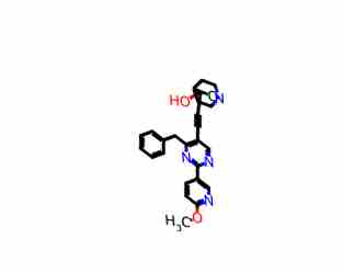 COc1ccc(-c2ncc(C#CC3(O)CN4CCC3CC4)c(Cc3ccccc3)n2)cn1